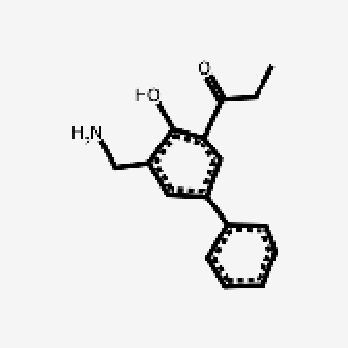 CCC(=O)c1cc(-c2ccccc2)cc(CN)c1O